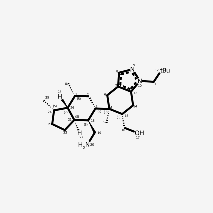 C[C@@H]1C[C@H]([C@@]2(C)Cc3cnn(CC(C)(C)C)c3C[C@@H]2CO)[C@@H](CN)[C@H]2CC[C@H](C)[C@@H]21